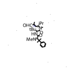 CN[C@H](C(=O)NC(C(=O)N(C)[C@H](/C=C(\C)C=O)C(C)C)C(C)(C)C)C(C)(C)c1ccccc1